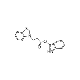 O=C(CCN1CSc2ccccc21)Oc1c[nH]c2ccccc12